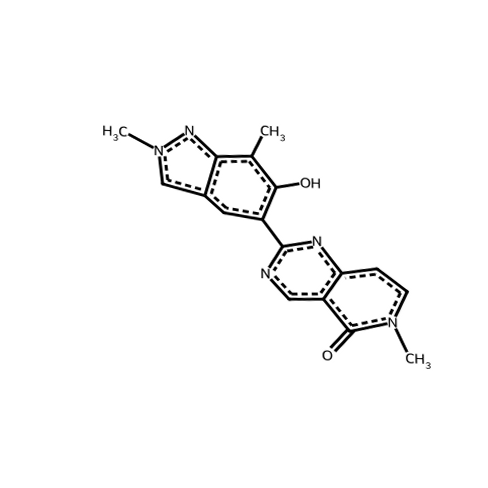 Cc1c(O)c(-c2ncc3c(=O)n(C)ccc3n2)cc2cn(C)nc12